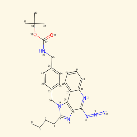 CCCCc1nc2c(N=[N+]=[N-])nc3ccccc3c2n1Cc1ccc(CNC(=O)OC(C)(C)C)cc1